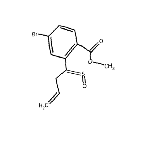 C=CCC(=S=O)c1cc(Br)ccc1C(=O)OC